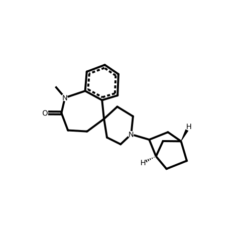 CN1C(=O)CCC2(CCN(C3C[C@@H]4CC[C@@H]3C4)CC2)c2ccccc21